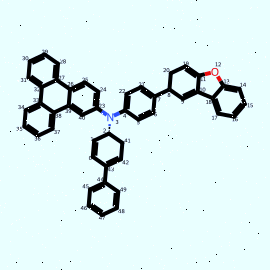 C1=C[C@H](N(c2ccc(C3C=c4c(oc5ccccc45)=CC3)cc2)c2ccc3c4ccccc4c4ccccc4c3c2)CC=C1c1ccccc1